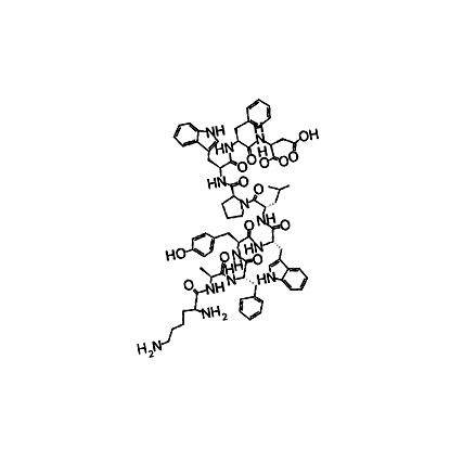 CC(C)C[C@H](NC(=O)[C@H](Cc1c[nH]c2ccccc12)NC(=O)[C@H](Cc1ccc(O)cc1)NC(=O)[C@H](Cc1ccccc1)NC(=O)[C@H](C)NC(=O)[C@@H](N)CCCCN)C(=O)N1CCC[C@H]1C(=O)N[C@@H](Cc1c[nH]c2ccccc12)C(=O)N[C@@H](Cc1ccccc1)C(=O)N[C@@H](CC(=O)O)C(=O)O